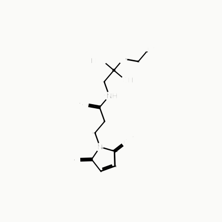 CC(C)(CNC(=O)CCN1C(=O)C=CC1=O)OCI